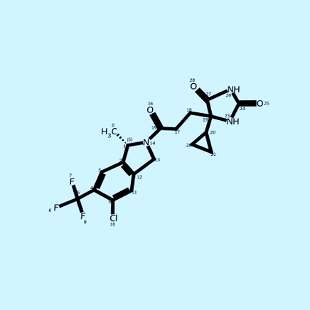 C[C@H]1c2cc(C(F)(F)F)c(Cl)cc2CN1C(=O)CCC1(C2CC2)NC(=O)NC1=O